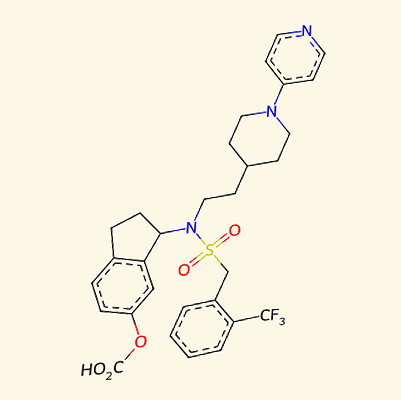 O=C(O)Oc1ccc2c(c1)C(N(CCC1CCN(c3ccncc3)CC1)S(=O)(=O)Cc1ccccc1C(F)(F)F)CC2